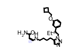 CC[C@@H](Cn1nncc1CCCCN/C=C\C(N)=O)c1cccc(OCC2CCC2)c1